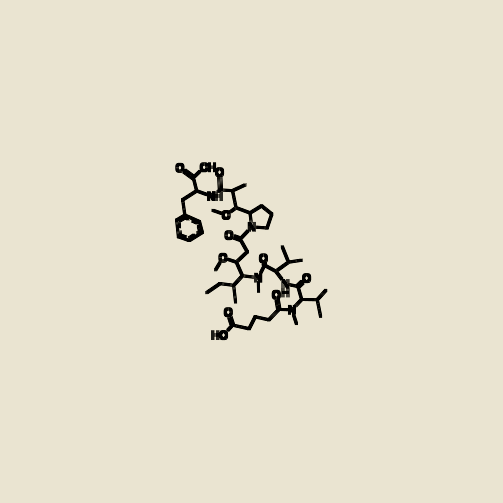 CCC(C)C(C(CC(=O)N1CCCC1C(OC)C(C)C(=O)NC(Cc1ccccc1)C(=O)O)OC)N(C)C(=O)C(NC(=O)C(C(C)C)N(C)C(=O)CCCC(=O)O)C(C)C